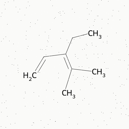 C=CC(CC)=C(C)C